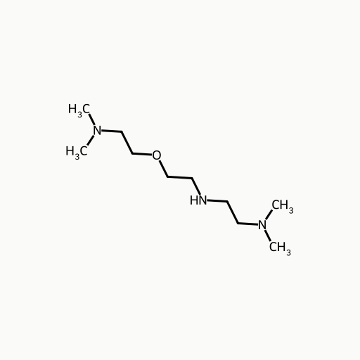 CN(C)CCNCCOCCN(C)C